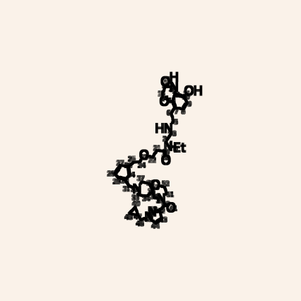 CCN(CCNCCc1ccc(O)c2c1OCC(=O)N2)C(=O)CCOCCc1cccc(CN2CCC3(CC2)CN(C(=O)c2ccn(CC4CC4)n2)CCO3)c1